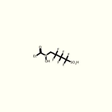 CCC(=O)N(O)CC(F)(F)C(F)(F)C(F)(F)S(=O)(=O)O